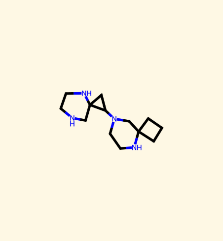 C1CC2(C1)CN(C1CC13CNCCN3)CCN2